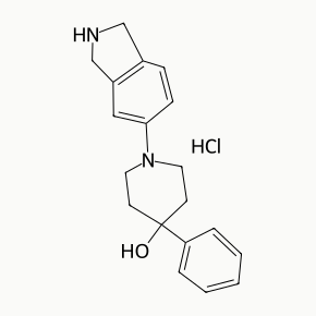 Cl.OC1(c2ccccc2)CCN(c2ccc3c(c2)CNC3)CC1